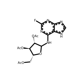 CC(=O)OC[C@H]1OC(Nc2nc(F)nc3nc[nH]c23)[C@@H](OC(C)=O)[C@@H]1OC(C)=O